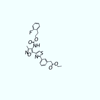 CCOC(=O)Cc1cccc(-c2nc(-c3onc(C)c3NC(=O)OCCc3ccccc3F)cs2)c1